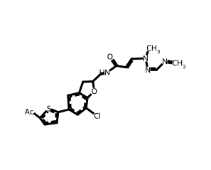 C=N/C=N\N(C)/C=C/C(=O)NCC1Cc2cc(-c3ccc(C(C)=O)s3)cc(Cl)c2O1